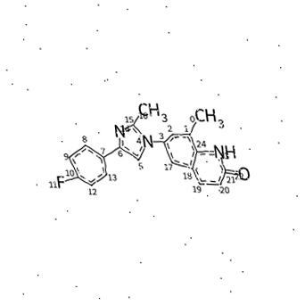 Cc1cc(-n2cc(-c3ccc(F)cc3)nc2C)cc2ccc(=O)[nH]c12